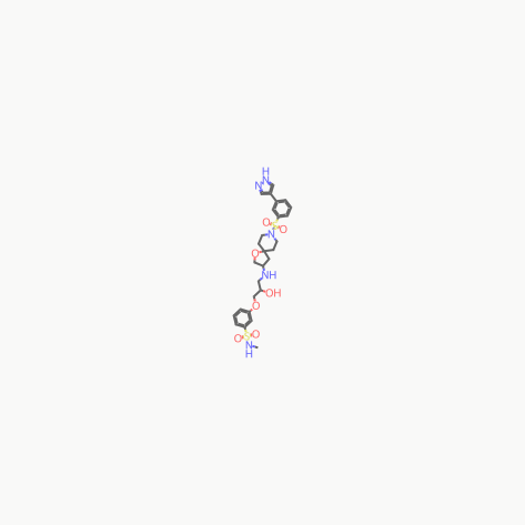 CNS(=O)(=O)c1cccc(OCC(O)CNC2COC3(CCN(S(=O)(=O)c4cccc(-c5cn[nH]c5)c4)CC3)C2)c1